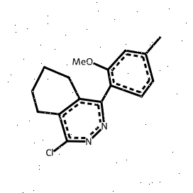 COc1cc(C)ccc1-c1nnc(Cl)c2c1CCCC2